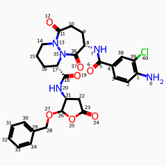 Nc1ccc(C(=O)N[C@H]2CCC(=O)N3CCC[C@@H](C(=O)N[C@H]4CC(=O)OC4OCc4ccccc4)N3C2=O)cc1Cl